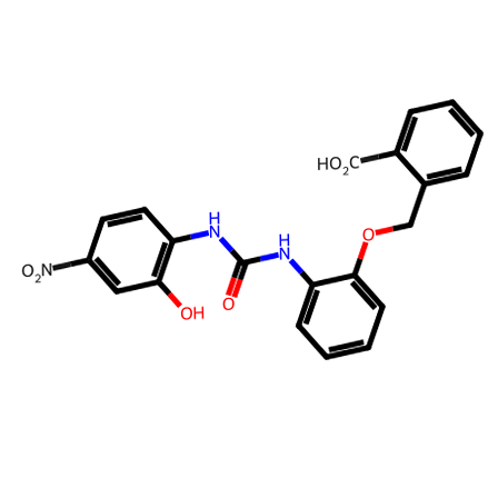 O=C(Nc1ccc([N+](=O)[O-])cc1O)Nc1ccccc1OCc1ccccc1C(=O)O